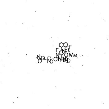 CCc1c(F)ccc2cccc(-c3nc(OC)c4c(N5CC6CCC(C5)N6)nc(OC[C@]56CCCN5[C@@H](COC(=O)N(C)C)CC6)nc4c3F)c12